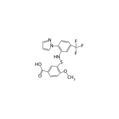 COc1ccc(C(=O)O)cc1SNc1cc(C(F)(F)F)ccc1-n1cccn1